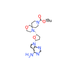 CC(C)(C)OC(=O)N1CCC2(CC1)COCCN2C[C@@H]1CC[C@H](n2ccc3c(N)ncnc32)O1